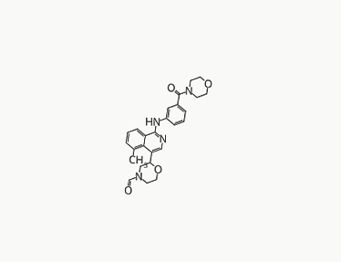 Cc1cccc2c(Nc3cccc(C(=O)N4CCOCC4)c3)ncc(C3CN(C=O)CCO3)c12